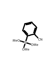 CO[Si](OC)(OC)c1ccccc1C#N